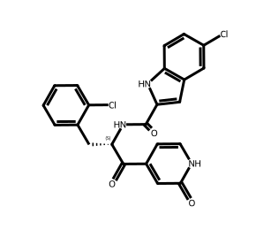 O=C(N[C@@H](Cc1ccccc1Cl)C(=O)c1cc[nH]c(=O)c1)c1cc2cc(Cl)ccc2[nH]1